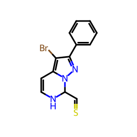 S=CC1NC=Cc2c(Br)c(-c3ccccc3)nn21